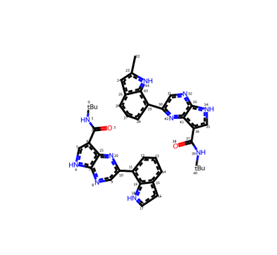 CC(C)(C)NC(=O)c1c[nH]c2ncc(-c3cccc4cc[nH]c34)nc12.Cc1cc2cccc(-c3cnc4[nH]cc(C(=O)NC(C)(C)C)c4n3)c2[nH]1